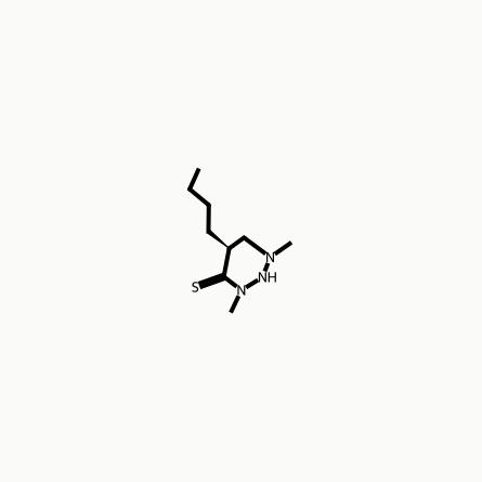 CCCC[C@H]1CN(C)NN(C)C1=S